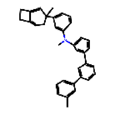 Cc1cccc(-c2cccc(-c3cccc(N(C)c4cccc(C5(C)C=C6CCC6=CC5)c4)c3)c2)c1